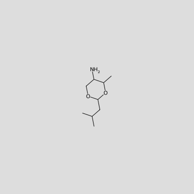 CC(C)CC1OCC(N)C(C)O1